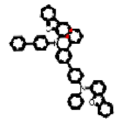 c1ccc(-c2ccc(N(c3ccc(-c4ccc(N(c5ccccc5)c5cccc6c5oc5ccccc56)cc4)cc3-c3ccccc3)c3cccc4c3oc3ccccc34)cc2)cc1